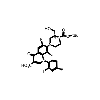 CC(C)(C)OC(=O)N1CCN(c2c(F)cc3c(=O)c(C(=O)O)cn(-c4ccc(F)cc4F)c3c2F)C[C@@H]1CO